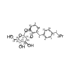 CC(C)Cc1ccc(Cc2ccccc2O[C@H]2C(O)O[C@H](CO)[C@@H](O)[C@@H]2O)cc1